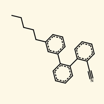 CCCCCc1cccc(-c2ccccc2-c2ccccc2C#N)c1